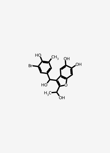 Cc1cc(C(O)c2c(C(C)O)oc3cc(O)c(O)cc23)cc(Br)c1O